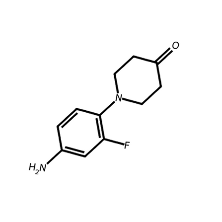 Nc1ccc(N2CCC(=O)CC2)c(F)c1